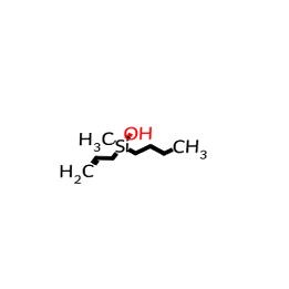 C=CC[Si](C)(O)CCCC